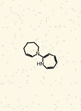 C1=CC=C(N2C=CCCCC2)NC=C1